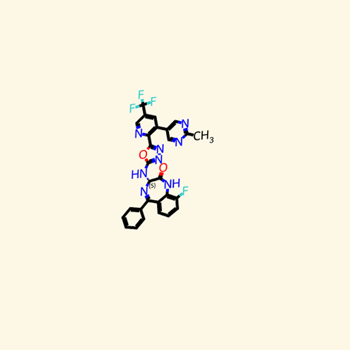 Cc1ncc(-c2cc(C(F)(F)F)cnc2-c2nnc(N[C@H]3N=C(c4ccccc4)c4cccc(F)c4NC3=O)o2)cn1